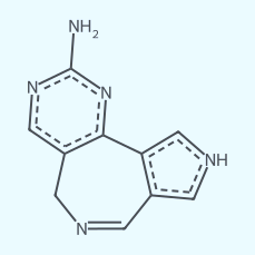 Nc1ncc2c(n1)-c1c[nH]cc1C=NC2